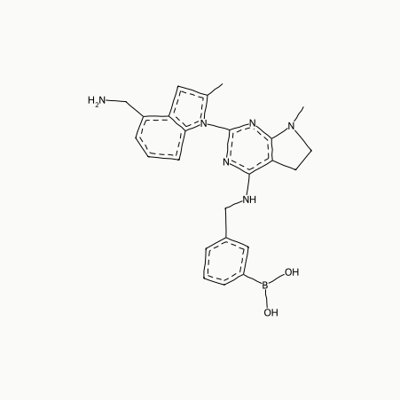 Cc1cc2c(CN)cccc2n1-c1nc(NCc2cccc(B(O)O)c2)c2c(n1)N(C)CC2